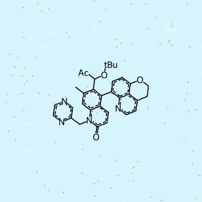 CC(=O)C(OC(C)(C)C)c1c(C)cc2c(ccc(=O)n2Cc2cnccn2)c1-c1ccc2c3c(ccnc13)CCO2